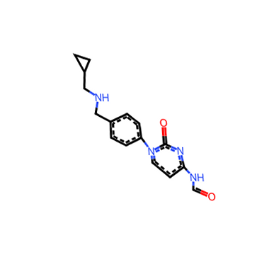 O=CNc1ccn(-c2ccc(CNCC3CC3)cc2)c(=O)n1